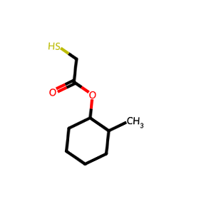 CC1CCCCC1OC(=O)CS